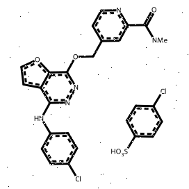 CNC(=O)c1cc(COc2nnc(Nc3ccc(Cl)cc3)c3ccoc23)ccn1.O=S(=O)(O)c1ccc(Cl)cc1